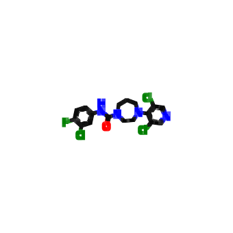 O=C(Nc1ccc(F)c(Cl)c1)N1CCCN(c2c(Cl)cncc2Cl)CC1